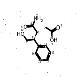 CC(=O)O.NC(=O)C[C@H](CO)c1ccccc1